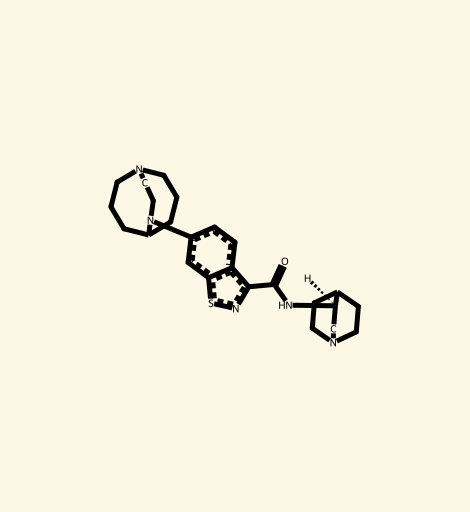 O=C(N[C@@H]1CN2CCC1CC2)c1nsc2cc(N3CCN4CCCC3CCC4)ccc12